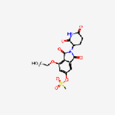 CS(=O)(=O)Oc1cc(OCC(=O)O)c2c(c1)C(=O)N(C1CCC(=O)NC1=O)C2=O